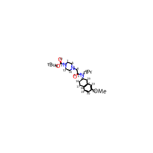 CCCN(C(=O)CN1CCN(C(=O)OC(C)(C)C)CC1)C1CCc2ccc(OC)cc2C1